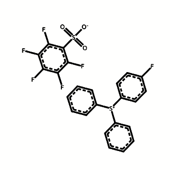 Fc1ccc([S+](c2ccccc2)c2ccccc2)cc1.O=S(=O)([O-])c1c(F)c(F)c(F)c(F)c1F